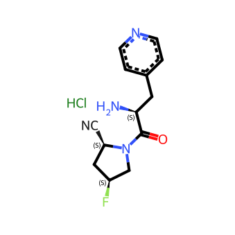 Cl.N#C[C@@H]1C[C@H](F)CN1C(=O)[C@@H](N)Cc1ccncc1